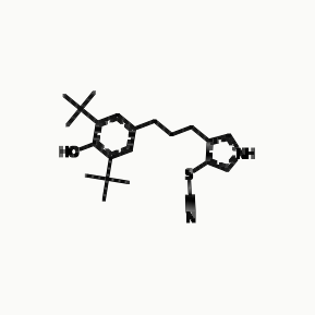 CC(C)(C)c1cc(CCCc2c[nH]cc2SC#N)cc(C(C)(C)C)c1O